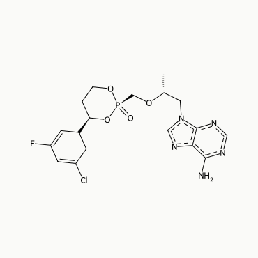 C[C@H](Cn1cnc2c(N)ncnc21)OC[P@]1(=O)OCC[C@H](C2C=C(F)C=C(Cl)C2)O1